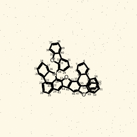 c1ccc(-c2ccccc2-c2c3oc4c(N(c5ccccc5-c5ccccc5)c5cccc6c5oc5ccccc56)cccc4c3cc3oc4ccccc4c23)cc1